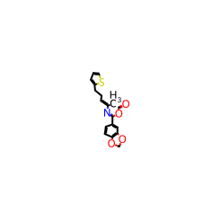 CC(=C\CCc1cccs1)/N=C(\OC=O)c1ccc2c(c1)OCO2